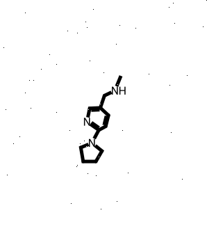 CNCc1ccc(N2CCCC2)nc1